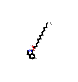 CCCCCCCCCCCCCC(=O)Oc1nccc2ccccc12